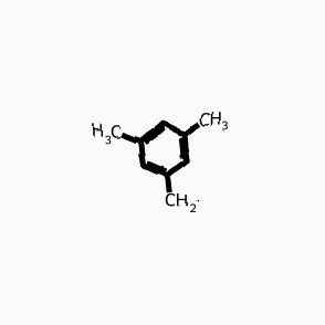 [CH2]c1cc(C)cc(C)c1